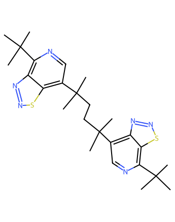 CC(C)(C)c1ncc(C(C)(C)CCC(C)(C)c2cnc(C(C)(C)C)c3snnc23)c2snnc12